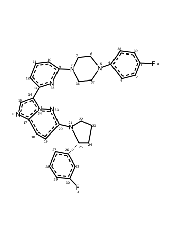 Fc1ccc(N2CCN(c3cccc(-c4cnc5ccc(N6CCC[C@@H]6c6cccc(F)c6)nn45)n3)CC2)cc1